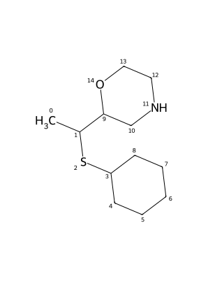 CC(SC1CCCCC1)C1CNCCO1